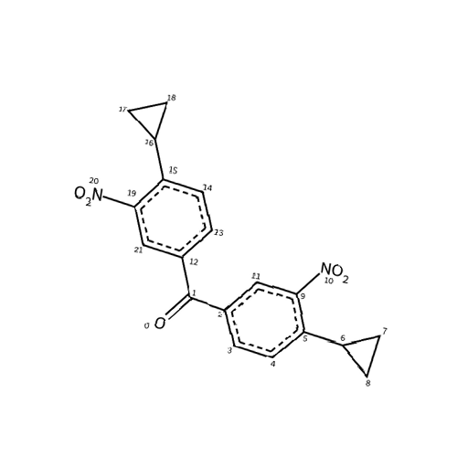 O=C(c1ccc(C2CC2)c([N+](=O)[O-])c1)c1ccc(C2CC2)c([N+](=O)[O-])c1